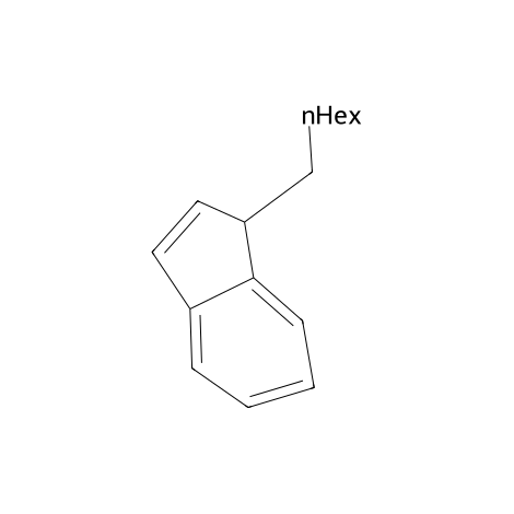 CCCCCCCC1C=Cc2ccccc21